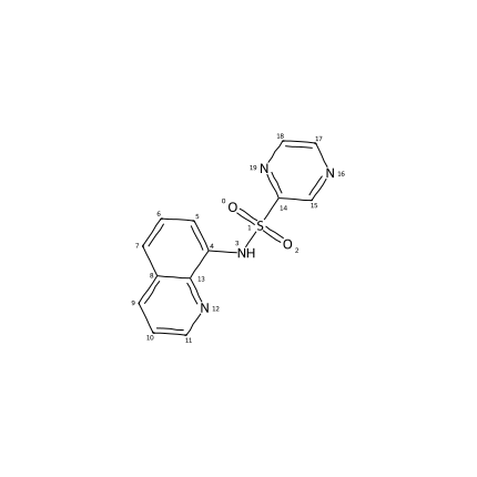 O=S(=O)(Nc1cccc2cccnc12)c1cnccn1